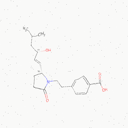 CC(C)C[C@H](O)C=C[C@H]1CCC(=O)N1CCc1ccc(C(=O)O)cc1